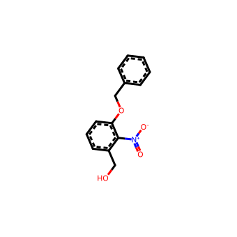 O=[N+]([O-])c1c(CO)cccc1OCc1ccccc1